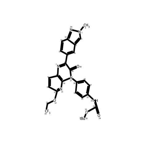 Cn1cc2cc(-c3nc4ccc(OCC(F)(F)F)nc4n(-c4ccc(NC(=O)OC(C)(C)C)cc4)c3=O)ccc2n1